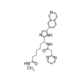 CNC(=O)CCCCCC(NC(=O)Cc1ncccn1)c1ncc(-c2ccc3ccncc3c2)[nH]1